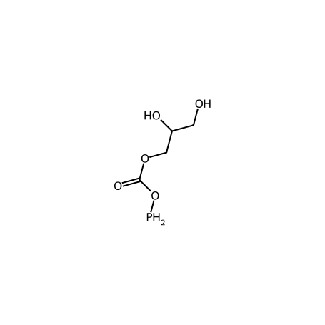 O=C(OP)OCC(O)CO